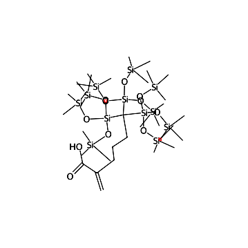 C=C(CCCC([Si](O[Si](C)(C)C)(O[Si](C)(C)C)O[Si](C)(C)C)([Si](O[Si](C)(C)C)(O[Si](C)(C)C)O[Si](C)(C)C)[Si](O[Si](C)(C)C)(O[Si](C)(C)C)O[Si](C)(C)C)C(=O)O